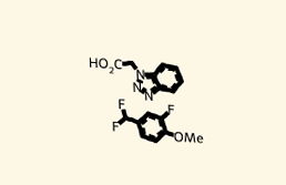 COc1ccc(C(F)F)cc1F.O=C(O)Cn1nnc2ccccc21